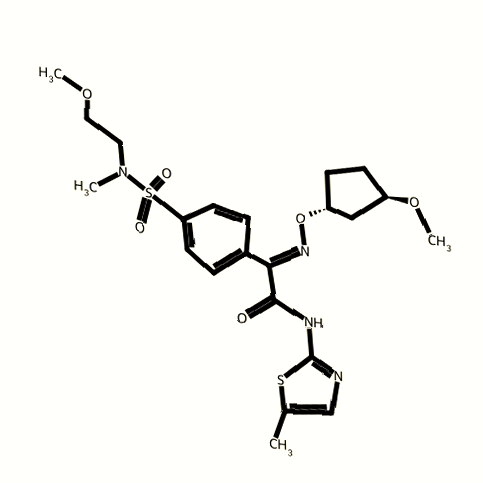 COCCN(C)S(=O)(=O)c1ccc(/C(=N\O[C@@H]2CC[C@@H](OC)C2)C(=O)Nc2ncc(C)s2)cc1